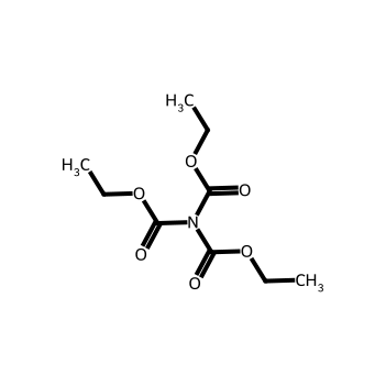 CCOC(=O)N(C(=O)OCC)C(=O)OCC